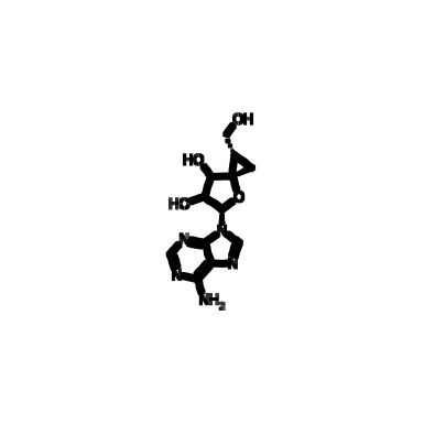 Nc1ncnc2c1ncn2[C@@H]1O[C@]2(C[C@H]2CO)C(O)C1O